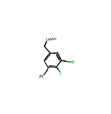 COCc1cc(Cl)c(F)c(C(C)C)c1